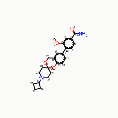 COc1cc(C(N)=O)ccc1-c1ccc2c(c1)COC1(CCN(C3CCC3)CC1)O2